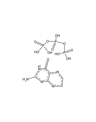 Nc1nc2nccnc2c(=O)[nH]1.O=P(O)(O)OP(=O)(O)OP(=O)(O)O